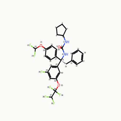 O=C(NC1CCCC1)N[C@](Cc1ccccc1)(c1ccc(OC(F)F)cc1)c1cc(F)cc(OC(F)(F)C(F)F)c1